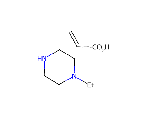 C=CC(=O)O.CCN1CCNCC1